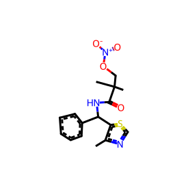 Cc1ncsc1C(NC(=O)C(C)(C)CO[N+](=O)[O-])c1ccccc1